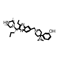 CCC[C@@H](c1nc2ccc(CN3CCC(c4cccc(O)c4)(N(C)C)CC3)cc2nc1CC)N1C[C@@H](C)N[C@@H](C)C1